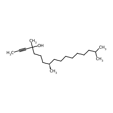 CC#CC(C)(O)CCC[C@H](C)CCCCCCCC(C)C